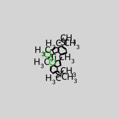 C[CH]=[Ti]([Cl])([Cl])([CH]1C(C)=Cc2c1cccc2[Si](C)(C)C)[CH]1C(C)=Cc2c1cccc2[Si](C)(C)C